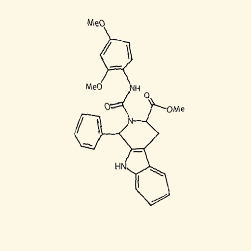 COC(=O)C1Cc2c([nH]c3ccccc23)C(c2ccccc2)N1C(=O)Nc1ccc(OC)cc1OC